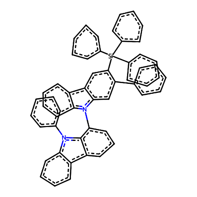 c1ccc(-c2cc3c(cc2[Si](c2ccccc2)(c2ccccc2)c2ccccc2)c2ccccc2n3-c2cccc3c4ccccc4n(-c4ccccc4)c23)cc1